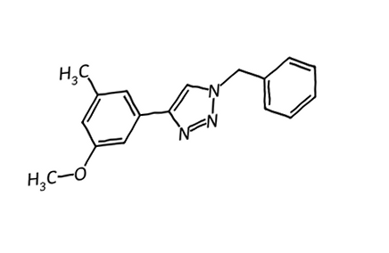 COc1cc(C)cc(-c2cn(Cc3ccccc3)nn2)c1